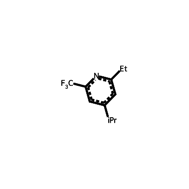 CCc1cc(C(C)C)cc(C(F)(F)F)n1